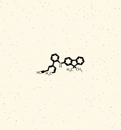 C#CC/C=C(\C=C/C)c1ccccc1Nc1ccc2c(c1)C(C)(C)c1ccccc1-2